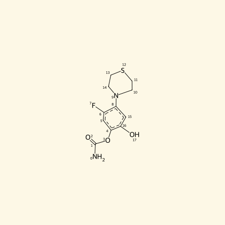 NC(=O)Oc1cc(F)c(N2CCSCC2)cc1O